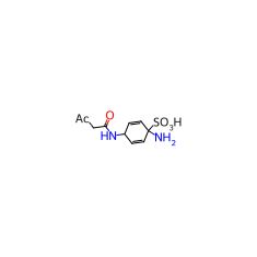 CC(=O)CC(=O)NC1C=CC(N)(S(=O)(=O)O)C=C1